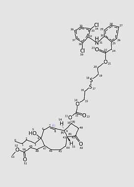 CCCCC1(O)C/C=C/[C@H]2[C@H](OC(=O)OCCSSCCOC(=O)Cc3ccccc3Nc3c(Cl)cccc3Cl)CC(=O)[C@@H]2CCCC1CCC(=O)OC